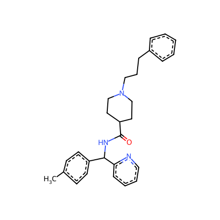 Cc1ccc(C(NC(=O)C2CCN(CCCc3ccccc3)CC2)c2ccccn2)cc1